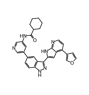 O=C(Nc1cncc(-c2ccc3[nH]nc(-c4cc5c(-c6ccoc6)ccnc5[nH]4)c3c2)c1)C1CCCCC1